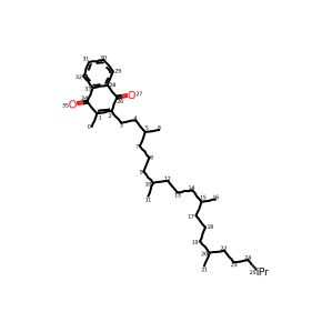 CC1=C(CCC(C)CCCC(C)CCCC(C)CCCC(C)CCCC(C)C)C(=O)c2ccccc2C1=O